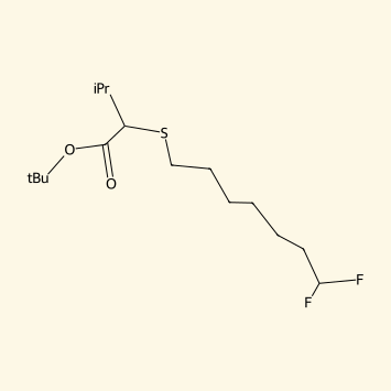 CC(C)C(SCCCCCCC(F)F)C(=O)OC(C)(C)C